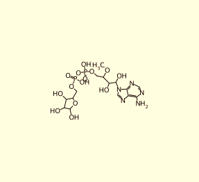 COC(COP(=O)(O)OP(=O)(O)OCC1OC(O)C(O)C1O)C(O)C(O)n1cnc2c(N)ncnc21